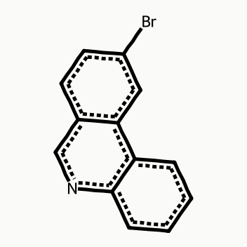 Brc1ccc2cnc3ccccc3c2c1